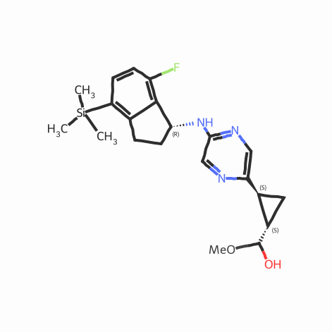 COC(O)[C@H]1C[C@@H]1c1cnc(N[C@@H]2CCc3c([Si](C)(C)C)ccc(F)c32)cn1